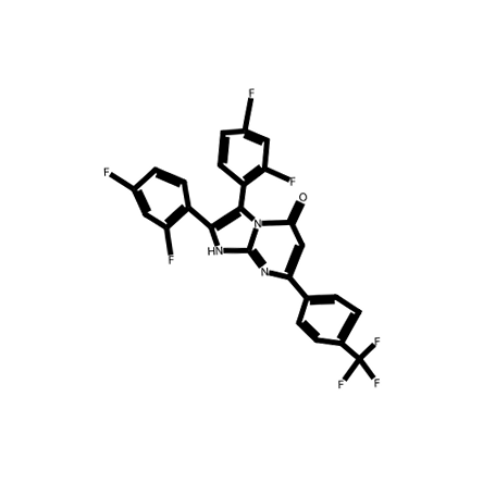 O=c1cc(-c2ccc(C(F)(F)F)cc2)nc2[nH]c(-c3ccc(F)cc3F)c(-c3ccc(F)cc3F)n12